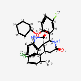 O=C1C[C@@H](C2C=C(Cl)C=CC2C(F)(F)F)[C@]2(C(=O)Nc3cc(Cl)ccc32)[C@@H](c2cc(F)ccc2OC2CCCCC2)N1